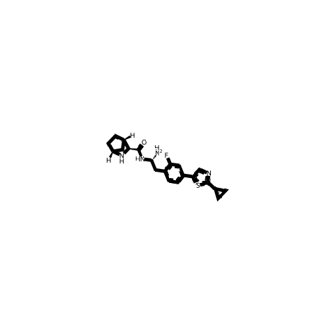 N[C@H](Cc1ccc(-c2cnc(C3CC3)s2)cc1F)NC(=O)[C@H]1N[C@@H]2CC[C@H]1C2